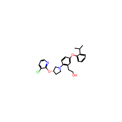 CC(C)c1ccccc1Oc1ccc(N2CC[C@H](Oc3ncccc3Cl)C2)c(CCO)c1